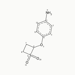 Nc1ccc(OC2CCS2(=O)=O)cc1